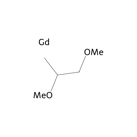 COCC(C)OC.[Gd]